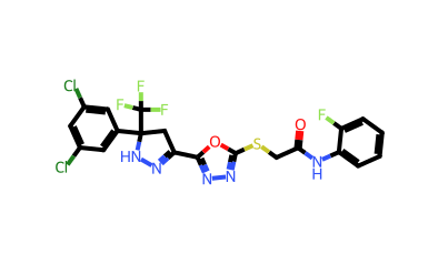 O=C(CSc1nnc(C2=NNC(c3cc(Cl)cc(Cl)c3)(C(F)(F)F)C2)o1)Nc1ccccc1F